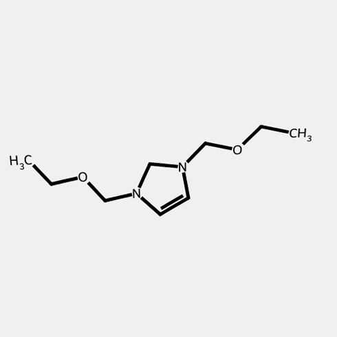 CCOCN1C=CN(COCC)C1